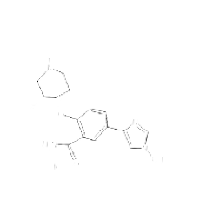 Cl.Cn1cnc(-c2ccc(O[C@H]3CCNC[C@H]3F)c(C(N)=O)c2)c1